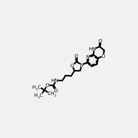 CC(C)(C)OC(=O)NCCCC1CN(c2ccc3c(n2)NC(=O)CO3)C(=O)O1